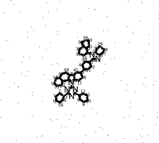 c1ccc(-c2nc(-c3ccccc3)nc(-n3c4ccc(-c5ccc(-c6nc7ccccc7n6-c6cccc7ccccc67)cc5)cc4c4ccc5ccccc5c43)n2)cc1